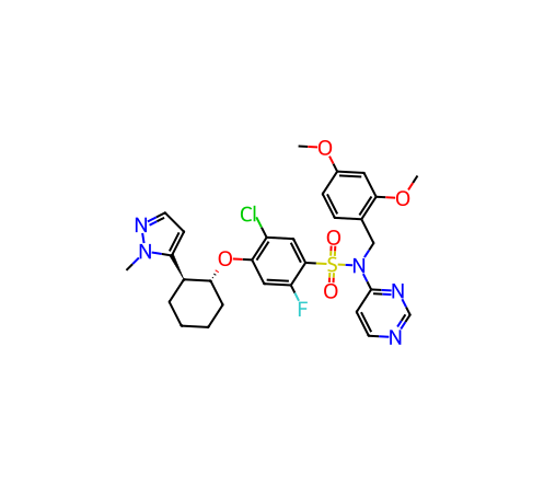 COc1ccc(CN(c2ccncn2)S(=O)(=O)c2cc(Cl)c(O[C@@H]3CCCC[C@H]3c3ccnn3C)cc2F)c(OC)c1